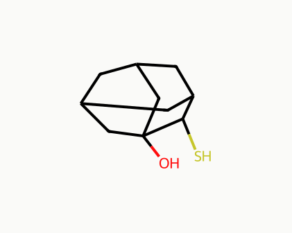 OC12CC3CC(CC(C3)C1S)C2